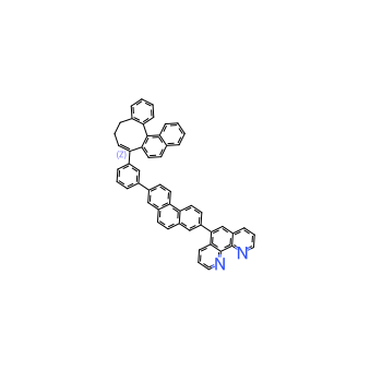 C1=C(/c2cccc(-c3ccc4c(ccc5cc(-c6cc7cccnc7c7ncccc67)ccc54)c3)c2)c2ccc3ccccc3c2-c2ccccc2CC/1